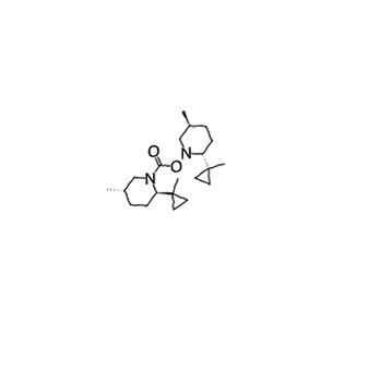 C[C@H]1CC[C@H](C2(C)CC2)N(OC(=O)N2C[C@@H](C)CC[C@@H]2C2(C)CC2)C1